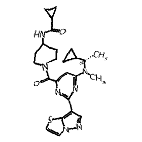 C[C@@H](C1CC1)N(C)c1cc(C(=O)N2CCC(NC(=O)C3CC3)CC2)nc(-c2cnn3ccsc23)n1